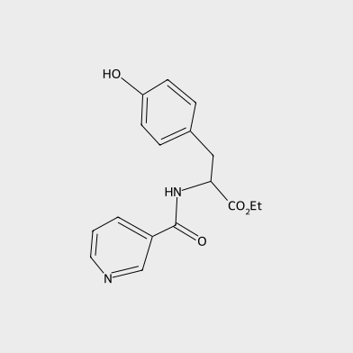 CCOC(=O)C(Cc1ccc(O)cc1)NC(=O)c1cccnc1